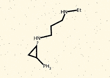 CCNCCCN[C@H]1CC1P